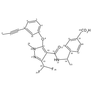 CC#Cc1cccc(Oc2c(C(=O)NC(C)c3ccc(C(=O)O)cc3)c(C(F)F)nn2C)c1